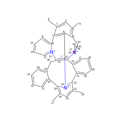 Cc1cc(C)c2c3c1-c1cccc[n+]1/C1=C(/c4ccccc4-c4c(C)cc(C)c([n+]4-3)-c3ccccc3C1)[n+]1ccccc1-2